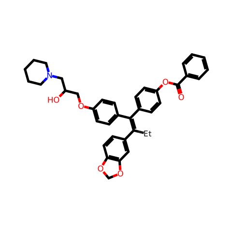 CC/C(=C(/c1ccc(OCC(O)CN2CCCCC2)cc1)c1ccc(OC(=O)c2ccccc2)cc1)c1ccc2c(c1)OCO2